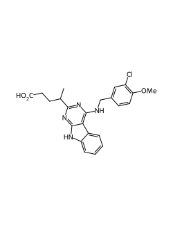 COc1ccc(CNc2nc(C(C)CCC(=O)O)nc3[nH]c4ccccc4c23)cc1Cl